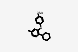 COc1ccc(Oc2cc(C)ccc2C2CCCCC2)cc1